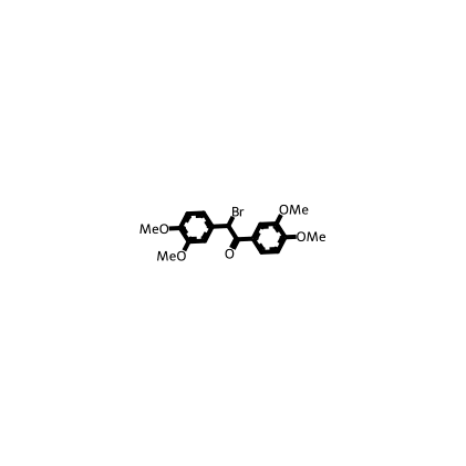 COc1ccc(C(=O)C(Br)c2ccc(OC)c(OC)c2)cc1OC